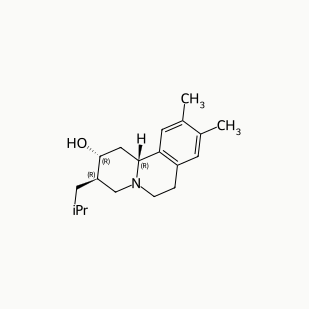 Cc1cc2c(cc1C)[C@H]1C[C@@H](O)[C@H](CC(C)C)CN1CC2